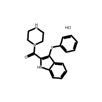 Cl.O=C(c1[nH]c2ccccc2c1Sc1ccccc1)N1CCNCC1